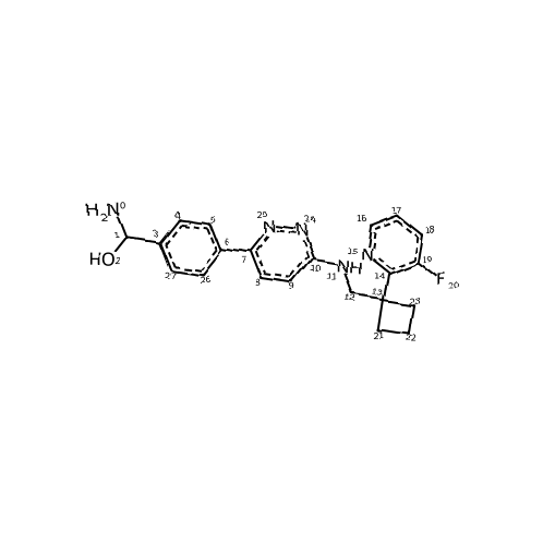 NC(O)c1ccc(-c2ccc(NCC3(c4ncccc4F)CCC3)nn2)cc1